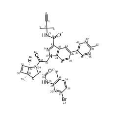 C#CC(C)(C)NC(=O)c1nn(CC(=O)N2[C@H](C(=O)Nc3nc(Br)ccc3C)C[C@@]3(C)C=C[C@@H]23)c2ccc(-c3cnc(C)nc3)cc12